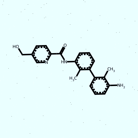 Cc1c(N)cccc1-c1cccc(NC(=O)c2ccc(CO)cn2)c1C